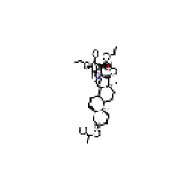 CCOC(=O)N/N=C(/C)[C@@]12ON=C(C(=O)OCC)[C@@H]1CC1C3CC=C4C[C@@H](OC(C)=O)CC[C@]4(C)C3CC[C@@]12C